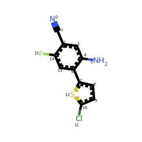 N#Cc1cc(N)c(-c2ccc(Cl)s2)cc1F